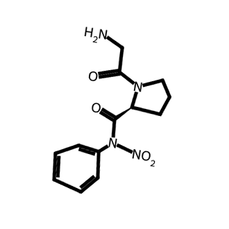 NCC(=O)N1CCC[C@H]1C(=O)N(c1ccccc1)[N+](=O)[O-]